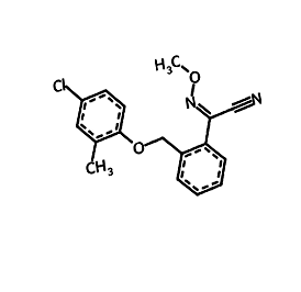 CON=C(C#N)c1ccccc1COc1ccc(Cl)cc1C